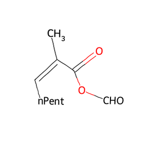 CCCCCC=C(C)C(=O)OC=O